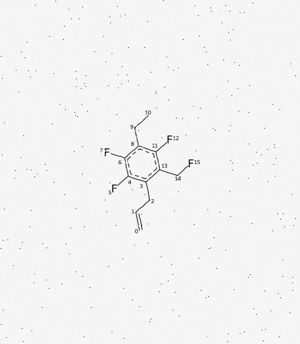 C=CCc1c(F)c(F)c(CC)c(F)c1CF